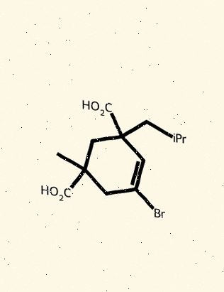 CC(C)CC1(C(=O)O)C=C(Br)CC(C)(C(=O)O)C1